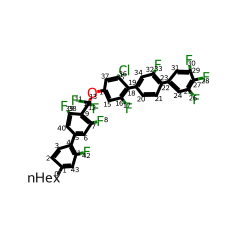 CCCCCCc1ccc(-c2cc(F)c(C(F)(F)Oc3cc(F)c(-c4ccc(-c5cc(F)c(F)c(F)c5)c(F)c4)c(Cl)c3)c(F)c2)c(F)c1